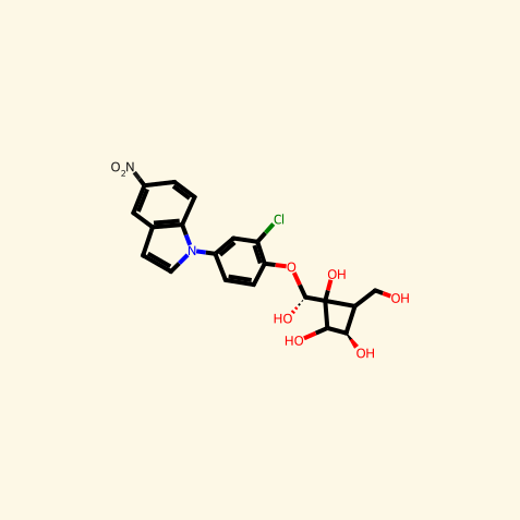 O=[N+]([O-])c1ccc2c(ccn2-c2ccc(O[C@@H](O)C3(O)C(O)[C@H](O)C3CO)c(Cl)c2)c1